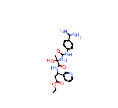 CCOC(=O)CC(NC(=O)C(C)(O)NC(=O)Nc1ccc(C(=N)N)cc1)c1cccnc1